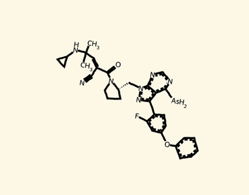 CC(C)(C=C(C#N)C(=O)N1CCC[C@H]1Cn1nc(-c2ccc(Oc3ccccc3)cc2F)c2c([AsH2])ncnc21)NC1CC1